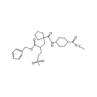 CCOC(=O)C1CCC(NC(=O)C2(CC(CCS(C)(=O)=O)C(=O)OCc3ccccc3)CCCC2)CC1